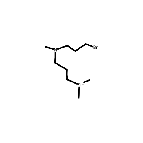 CN(CCCBr)CCC[SiH](C)C